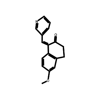 COc1ccc2c(c1)CCC(=O)C2=Cc1cccnc1